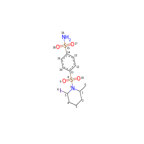 CC1CCCC(I)N1S(=O)(=O)c1ccc(S(N)(=O)=O)cc1